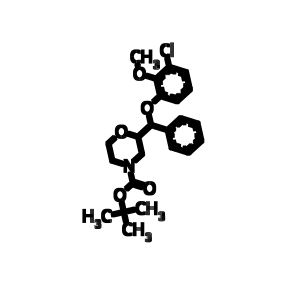 COc1c(Cl)cccc1OC(c1ccccc1)C1CN(C(=O)OC(C)(C)C)CCO1